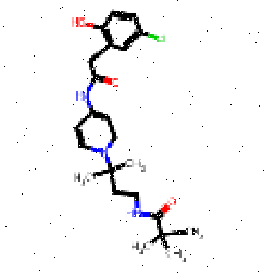 CC(C)(C)C(=O)NCCC(C)(C)N1C=CC(NC(=O)Cc2cc(Cl)ccc2O)=CC1